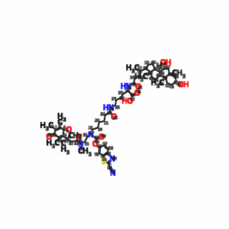 CC1=C(C)C(=O)C(C(C)(C)CC(=O)N(C)CCN(CCCCCC(=O)NCCCCC(NC(=O)CC[C@@H](C)C2CCC3[C@H]4C(CC[C@@]32C)[C@@]2(C)CC[C@@H](O)C[C@@]2(C)C[C@H]4O)C(=O)O)C(=O)Oc2ccc3nc(C#N)sc3c2)=C(C)C1=O